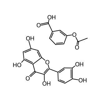 CC(=O)Oc1cccc(C(=O)O)c1.O=c1c(O)c(-c2ccc(O)c(O)c2)oc2cc(O)cc(O)c12